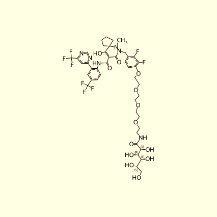 CN1N(Cc2ccc(OCCOCCOCCOCCNC(=O)[C@@H](O)[C@H](O)[C@@H](O)[C@@H](O)CO)c(F)c2F)C(=O)C(C(=O)Nc2ccc(C(F)(F)F)cc2-c2cc(C(F)(F)F)ncn2)=C(O)C12CCCC2